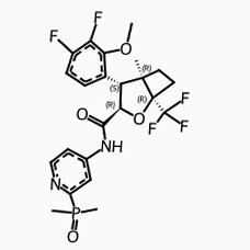 COc1c([C@H]2[C@H](C(=O)Nc3ccnc(P(C)(C)=O)c3)O[C@]3(C(F)(F)F)CC[C@]23C)ccc(F)c1F